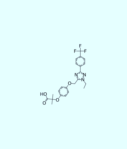 CCn1nc(-c2ccc(C(F)(F)F)cc2)nc1COc1ccc(OC(C)(C)C(=O)O)cc1